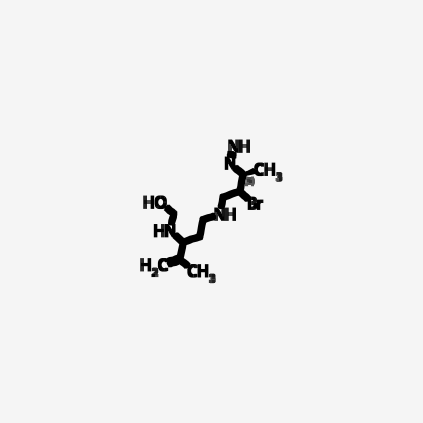 C=C(C)C(CCNCC(Br)[C@H](C)N=N)NCO